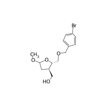 COC1C[C@H](CO)[C@@H](COCc2ccc(Br)cc2)O1